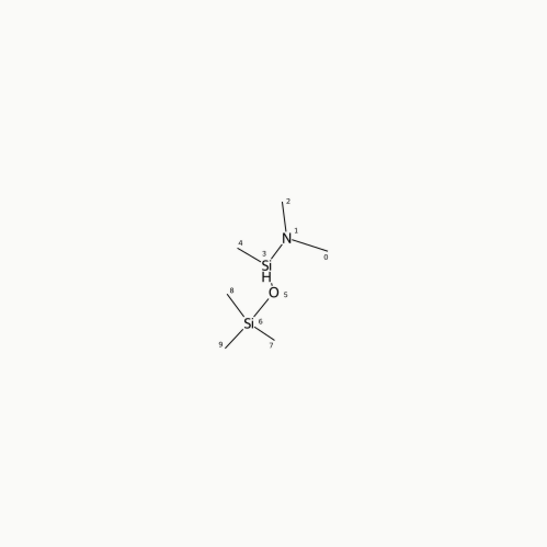 CN(C)[SiH](C)O[Si](C)(C)C